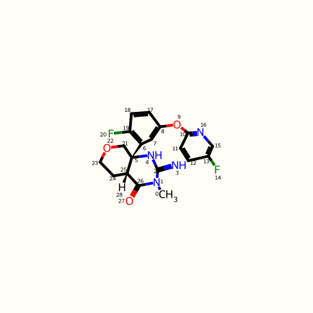 CN1C(=N)N[C@@]2(c3cc(Oc4ccc(F)cn4)ccc3F)COCC[C@H]2C1=O